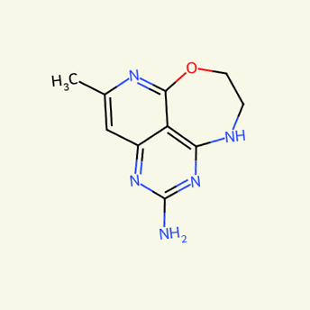 Cc1cc2nc(N)nc3c2c(n1)OCCN3